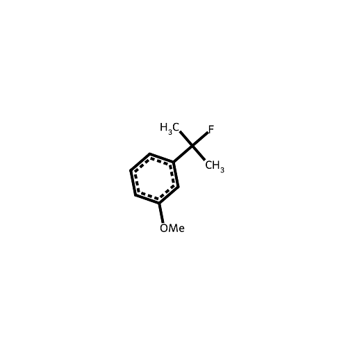 COc1cccc(C(C)(C)F)c1